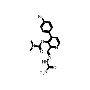 CN(C)C(=O)Oc1c(-c2ccc(Br)cc2)ccnc1C=NNC(N)=O